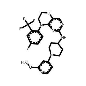 COc1cc(N2CCC(Nc3ncc4c(n3)N(c3ccc(F)cc3C(F)(F)F)CCO4)CC2)ccn1